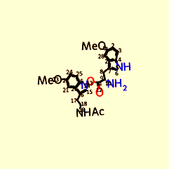 COc1ccc2[nH]cc(C[C@H](N)C(=O)On3cc(CCNC(C)=O)c4cc(OC)ccc43)c2c1